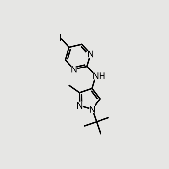 Cc1nn(C(C)(C)C)cc1Nc1ncc(I)cn1